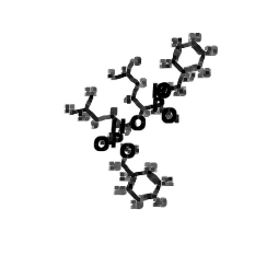 CC(C)CCC(OC(CCC(C)C)[PH](=O)OCc1ccccc1)[PH](=O)OCc1ccccc1